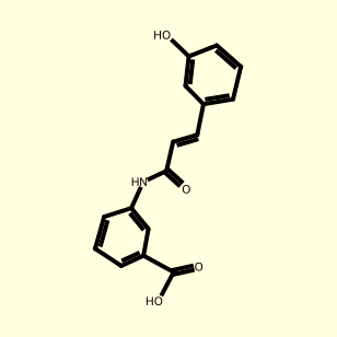 O=C(/C=C/c1cccc(O)c1)Nc1cccc(C(=O)O)c1